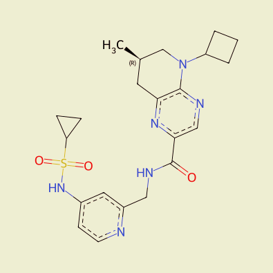 C[C@@H]1Cc2nc(C(=O)NCc3cc(NS(=O)(=O)C4CC4)ccn3)cnc2N(C2CCC2)C1